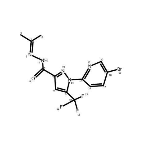 CC(C)=NNC(=O)c1cc(C(F)(F)F)n(-c2ccc(Br)cn2)n1